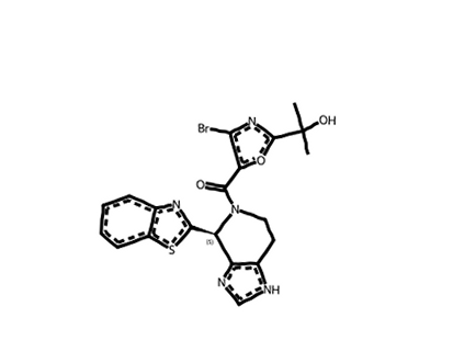 CC(C)(O)c1nc(Br)c(C(=O)N2CCc3[nH]cnc3[C@H]2c2nc3ccccc3s2)o1